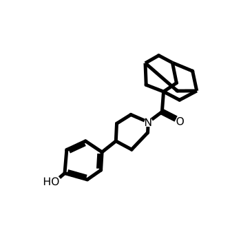 O=C(N1CCC(c2ccc(O)cc2)CC1)C12CC3CC(CC(C3)C1)C2